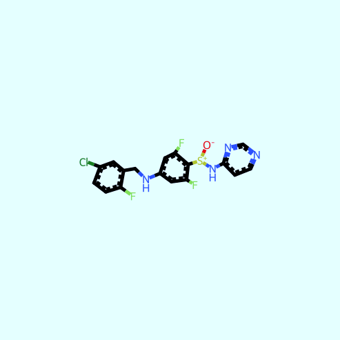 [O-][S+](Nc1ccncn1)c1c(F)cc(NCc2cc(Cl)ccc2F)cc1F